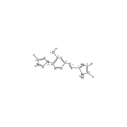 COc1cc(/C=C/c2nc(C)c(C)[nH]2)ccc1-n1cnc(C)c1